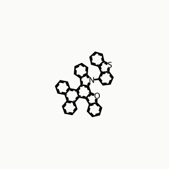 c1ccc2c(c1)oc1c2c2c3ccccc3c3ccccc3c2c2c3ccccc3n(-c3cccc4sc5ccccc5c34)c12